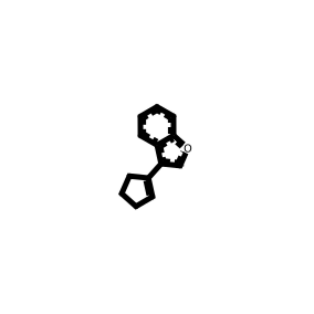 [c]1oc2ccccc2c1C1=CCCC1